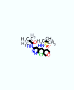 CC(C)(C)C(=O)Nc1cc([C@H](N[S+]([O-])C(C)(C)C)C2CCOCC2)c(Cl)nn1